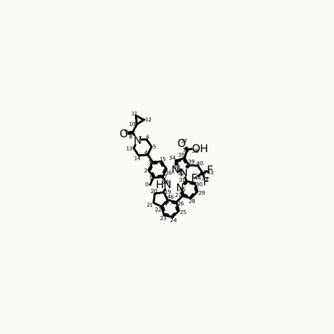 Cc1cc(C2CCN(C(=O)C3CC3)CC2)ccc1NC1CCc2cccc(-c3cccc(-n4ncc(C(=O)O)c4CC(F)(F)F)n3)c21